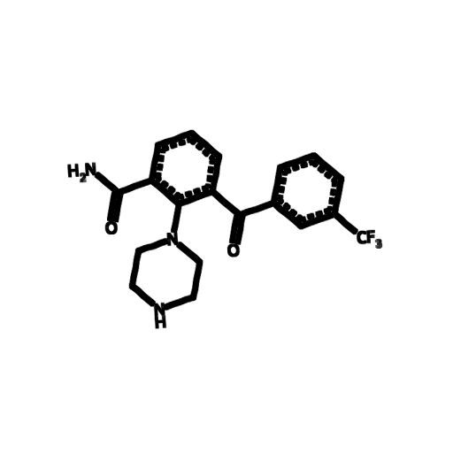 NC(=O)c1cccc(C(=O)c2cccc(C(F)(F)F)c2)c1N1CCNCC1